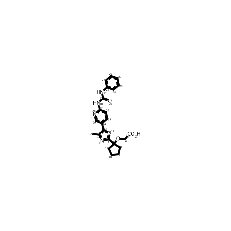 Cc1nc(C2(OCC(=O)O)CCCC2)sc1-c1ccc(NC(=O)Nc2ccccc2)nc1